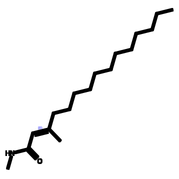 CCCCCCCCCCCC/C(C)=C/C(=O)NC